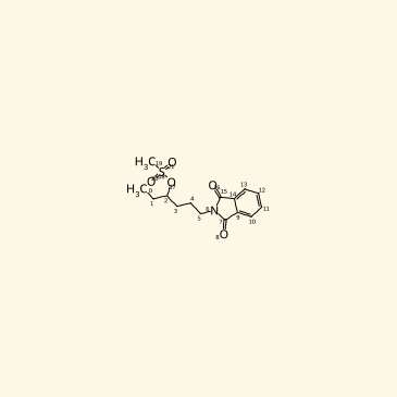 CCC(CCCN1C(=O)c2ccccc2C1=O)OS(C)(=O)=O